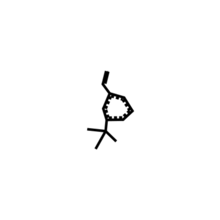 [CH]=Cc1cccc(C(C)(C)C)c1